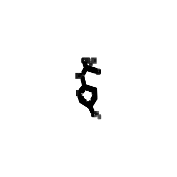 O=C(O)C(=O)Nc1ccc(C(F)(F)F)cn1